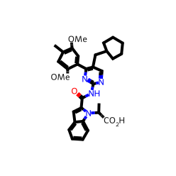 COc1cc(-c2nc(NC(=O)c3cc4ccccc4n3C(C)C(=O)O)ncc2CC2CCCCC2)c(OC)cc1C